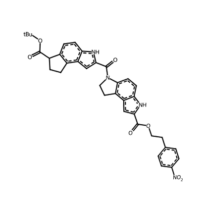 CC(C)(C)OC(=O)C1CCc2c1ccc1[nH]c(C(=O)N3CCc4c3ccc3[nH]c(C(=O)OCCc5ccc([N+](=O)[O-])cc5)cc43)cc21